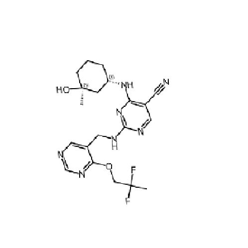 CC(F)(F)COc1ncncc1CNc1ncc(C#N)c(N[C@H]2CCC[C@](C)(O)C2)n1